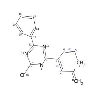 C=C/C=C(\C=C/C)c1nc(Cl)nc(-c2ccccc2)n1